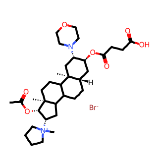 CC(=O)O[C@H]1[C@@H]([N+]2(C)CCCC2)CC2C3CC[C@H]4C[C@H](OC(=O)CCC(=O)O)[C@@H](N5CCOCC5)C[C@]4(C)C3CC[C@@]21C.[Br-]